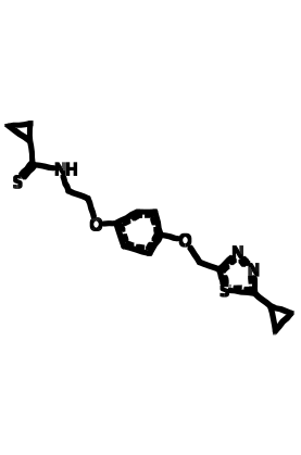 S=C(NCCOc1ccc(OCc2nnc(C3CC3)s2)cc1)C1CC1